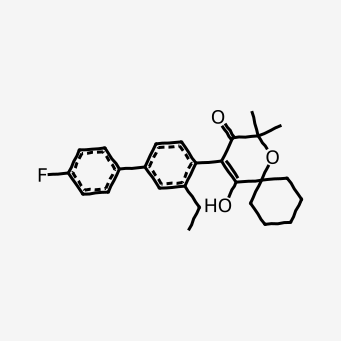 CCc1cc(-c2ccc(F)cc2)ccc1C1=C(O)C2(CCCCC2)OC(C)(C)C1=O